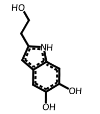 OCCc1cc2cc(O)c(O)cc2[nH]1